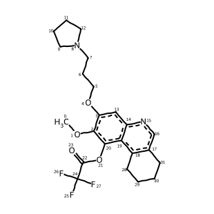 COc1c(OCCCN2CCCC2)cc2ncc3c(c2c1OC(=O)C(F)(F)F)CCCC3